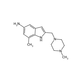 Cc1cc(N)cc2cc(CN3CCN(C)CC3)[nH]c12